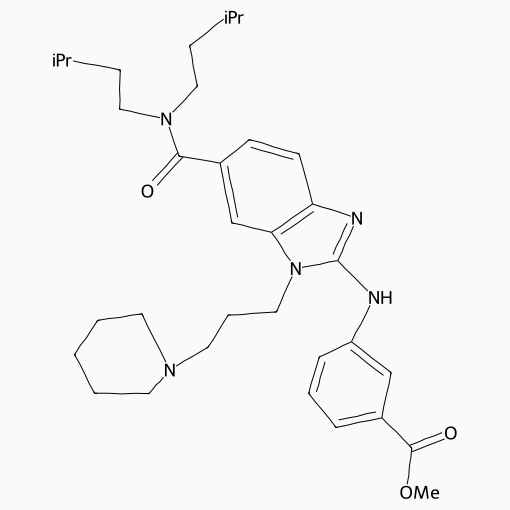 COC(=O)c1cccc(Nc2nc3ccc(C(=O)N(CCC(C)C)CCC(C)C)cc3n2CCCN2CCCCC2)c1